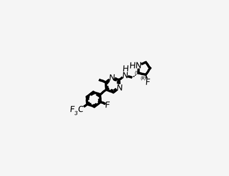 Cc1nc(NC[C@@H]2NCC[C@H]2F)ncc1-c1ccc(C(F)(F)F)cc1F